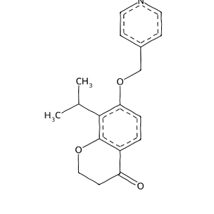 CC(C)c1c(OCc2ccncc2)ccc2c1OCCC2=O